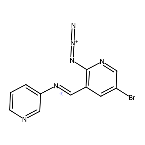 [N-]=[N+]=Nc1ncc(Br)cc1/C=N/c1cccnc1